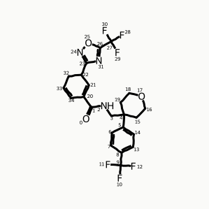 O=C(NCC1(c2ccc(C(F)(F)F)cc2)CCOCC1)C1=CC(c2noc(C(F)(F)F)n2)CC=C1